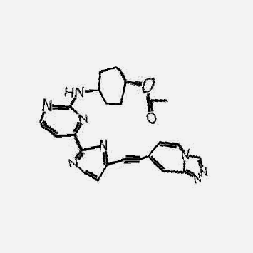 CC(=O)O[C@H]1CC[C@@H](Nc2nccc(-c3nccc(C#Cc4ccn5cnnc5c4)n3)n2)CC1